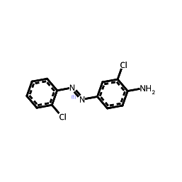 Nc1ccc(/N=N/c2ccccc2Cl)cc1Cl